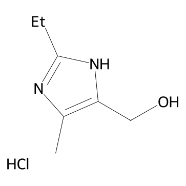 CCc1nc(C)c(CO)[nH]1.Cl